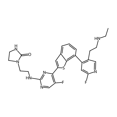 CCNCCc1cnc(F)cc1-c1cccc2cc(-c3nc(NCCN4CCNC4=O)ncc3F)sc12